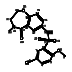 COc1ccc(Cl)cc1S(=O)(=O)Nc1cnc2c(c1)C(=O)N(C)CCO2